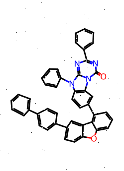 O=c1nc(-c2ccccc2)nc2n(-c3ccccc3)c3ccc(-c4cccc5oc6ccc(-c7ccc(-c8ccccc8)cc7)cc6c45)cc3n12